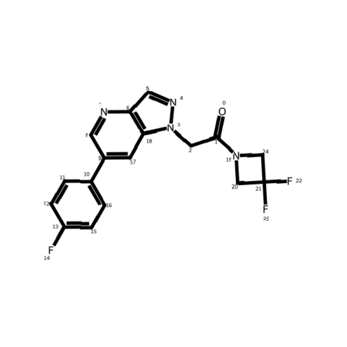 O=C(Cn1ncc2ncc(-c3ccc(F)cc3)cc21)N1CC(F)(F)C1